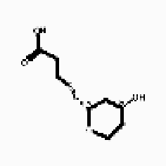 O=C(O)CCSC[C@@H]1C[C@H](O)CCO1